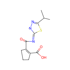 CC(C)C1=N[N]C(=NC(=O)C2=C(C(=O)O)CCC2)S1